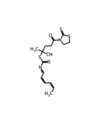 C\C=C/C=C\C=N\C(=S)SC(C)(C#N)CCC(=O)N1CCSC1=S